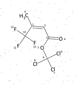 C/C(=C/C(=O)OC(Cl)(Cl)Cl)C(F)(F)F